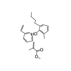 C=C(C)C(=O)OC.C=Cc1ccccc1.CCCCc1cccc(C)c1O